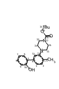 Cc1ccc(-c2ccccc2O)cc1N1CCN(C(=O)OC(C)(C)C)CC1